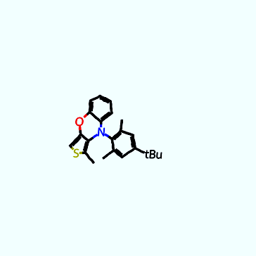 Cc1cc(C(C)(C)C)cc(C)c1N1c2ccccc2Oc2csc(C)c21